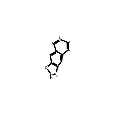 c1cc2cc3c(cc2cn1)ONO3